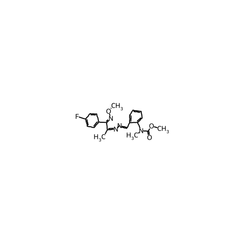 CON=C(C(C)=NN=Cc1ccccc1N(C)C(=O)OC)c1ccc(F)cc1